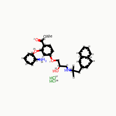 COC(=O)c1ccc(OC[C@H](O)CNC(C)(C)Cc2ccc3ccccc3c2)cc1Oc1ccccc1N.Cl.Cl